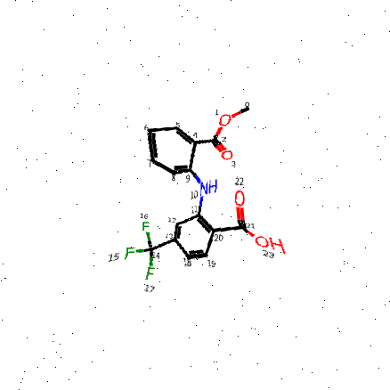 COC(=O)c1ccccc1Nc1cc(C(F)(F)F)ccc1C(=O)O